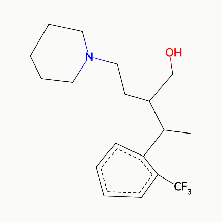 CC(c1ccccc1C(F)(F)F)C(CO)CCN1CCCCC1